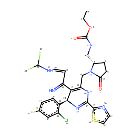 CCOC(=O)NC[C@@H]1CCC(=O)N1CC1=C(C(=N)/C=C\NC(F)F)[C@H](c2ccc(F)cc2Cl)N=C(c2nccs2)N1